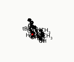 Cc1ncsc1-c1ccc(C(C)NC(=O)[C@@H]2C[C@@H](O)CN2C(=O)C(NC(=O)CCNC(=O)COc2ccc3c(c2)CN(C(=O)C(NC(=O)c2cc4cc(C(F)(F)P(=O)(O)O)ccc4s2)C(C)(C)C)[C@H](C(=O)N2CCC[C@H](c4ccccc4)C2)C3)C(C)(C)C)cc1